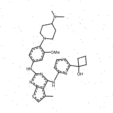 COc1cc(Nc2nc(Nc3cccc(C4(O)CCC4)n3)c3c(C)csc3n2)ccc1N1CCC(N(C)C)CC1